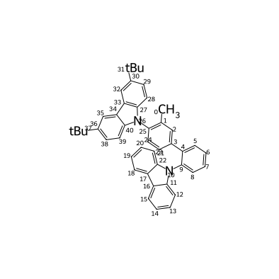 Cc1cc(-c2ccccc2-n2c3ccccc3c3ccccc32)ccc1-n1c2ccc(C(C)(C)C)cc2c2cc(C(C)(C)C)ccc21